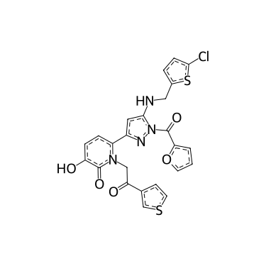 O=C(Cn1c(-c2cc(NCc3ccc(Cl)s3)n(C(=O)c3ccco3)n2)ccc(O)c1=O)c1ccsc1